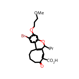 COCCCOc1cc2c(cc1Br)C1=C(/C=C(/C(=O)O)C(=O)CCCC1)C(C(C)C)O2